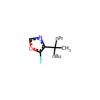 CCCCC(C)(CCC)c1ncoc1F